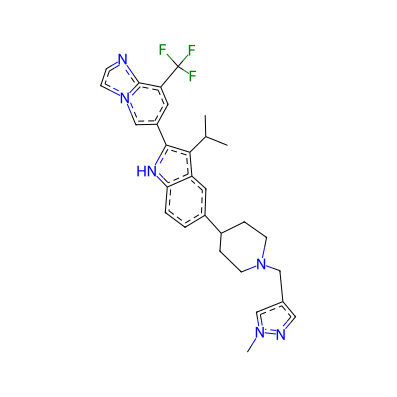 CC(C)c1c(-c2cc(C(F)(F)F)c3nccn3c2)[nH]c2ccc(C3CCN(Cc4cnn(C)c4)CC3)cc12